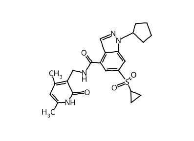 Cc1cc(C)c(CNC(=O)c2cc(S(=O)(=O)C3CC3)cc3c2cnn3C2CCCC2)c(=O)[nH]1